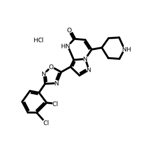 Cl.O=c1cc(C2CCNCC2)n2ncc(-c3nc(-c4cccc(Cl)c4Cl)no3)c2[nH]1